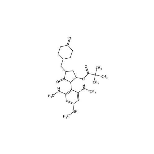 CNc1cc(NC)c(C2C(=O)C(CC3CCC(=O)CC3)CC2OC(=O)C(C)(C)C)c(NC)c1